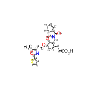 Cc1oc(-c2cccs2)nc1CCOc1ccc(CCC(=O)O)c(CN2C(=O)c3ccccc3C2=O)c1